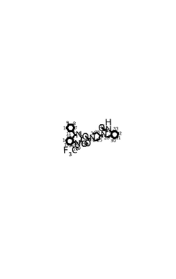 O=C(OC1N=C(c2ccccc2)c2ccccc2N(CC(F)(F)F)C1=O)N1CCC(N2Cc3ccccc3NC2=O)CC1